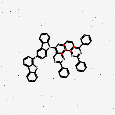 N/C(=N\C(=N/Cc1cc(-c2nc(-c3ccccc3)nc(-c3ccccc3)n2)ccc1-n1c2ccccc2c2cc(-c3cccc4c3sc3ccccc34)ccc21)c1ccccc1)c1ccccc1